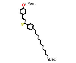 CCCCCCCCCCCCCCCCCCCCCc1ccc(C(=S)C=Cc2ccc(OCCCCC)cc2)cc1